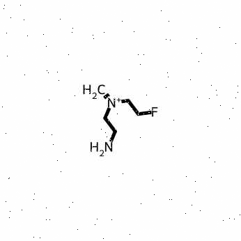 C=[N+](CCN)CCF